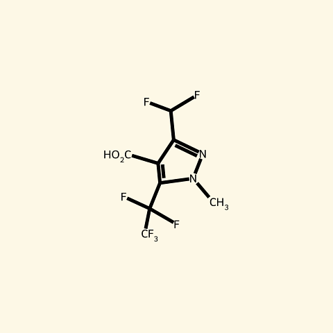 Cn1nc(C(F)F)c(C(=O)O)c1C(F)(F)C(F)(F)F